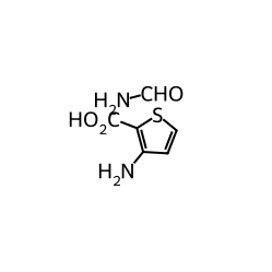 NC=O.Nc1ccsc1C(=O)O